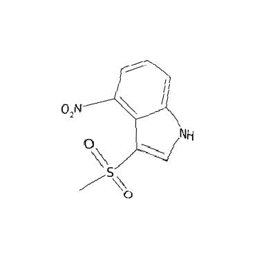 CS(=O)(=O)c1c[nH]c2cccc([N+](=O)[O-])c12